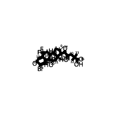 C[C@H]1C[C@H]2[C@@H]3CC(F)(F)C4=CC(=O)C(Br)=C[C@]4(C)[C@H]3[C@@H](O)C[C@]2(C)[C@@]1(O)C(=O)C(O)CC(C)(C)C(=O)O